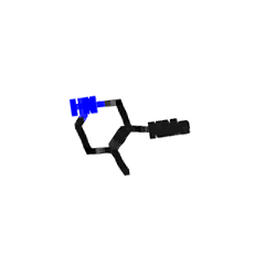 CNC1=C(C)CCNC1